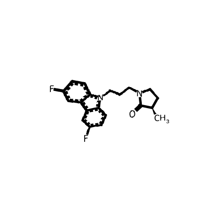 C[C@@H]1CCN(CCCn2c3ccc(F)cc3c3cc(F)ccc32)C1=O